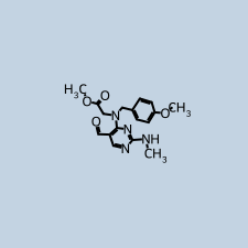 CNc1ncc(C=O)c(N(CC(=O)OC)Cc2ccc(OC)cc2)n1